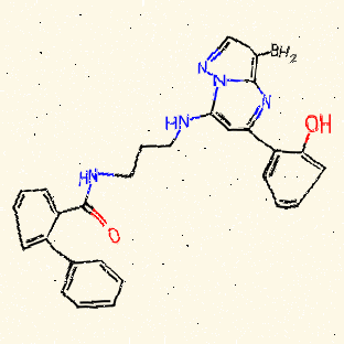 Bc1cnn2c(NCCCNC(=O)c3ccccc3-c3ccccc3)cc(-c3ccccc3O)nc12